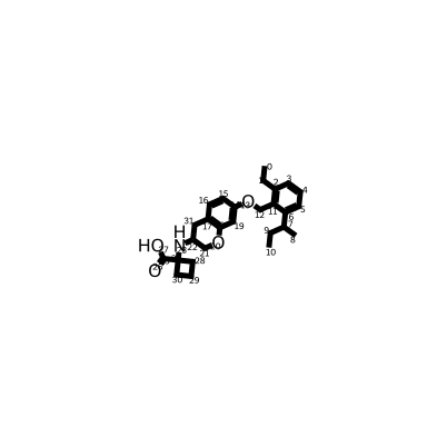 CCc1cccc(C(C)CC)c1COc1ccc2c(c1)OCC(NC1(C(=O)O)CCC1)C2